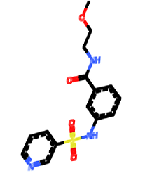 COCCNC(=O)c1cccc(NS(=O)(=O)c2cccnc2)c1